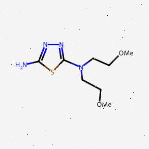 COCCN(CCOC)c1nnc(N)s1